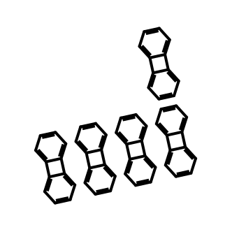 c1ccc2c(c1)-c1ccccc1-2.c1ccc2c(c1)-c1ccccc1-2.c1ccc2c(c1)-c1ccccc1-2.c1ccc2c(c1)-c1ccccc1-2.c1ccc2c(c1)-c1ccccc1-2